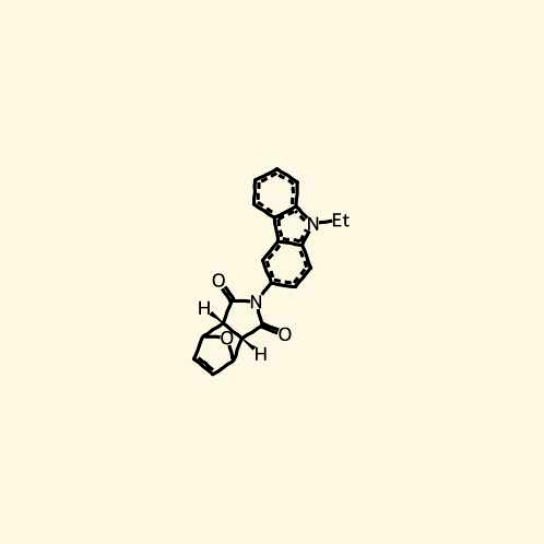 CCn1c2ccccc2c2cc(N3C(=O)[C@@H]4C5C=CC(O5)[C@@H]4C3=O)ccc21